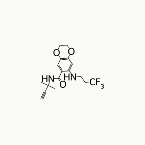 C#CC(C)(C)NC(=O)c1cc2c(cc1NCCC(F)(F)F)OCCO2